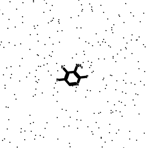 Nc1c(F)ncc(F)c1F